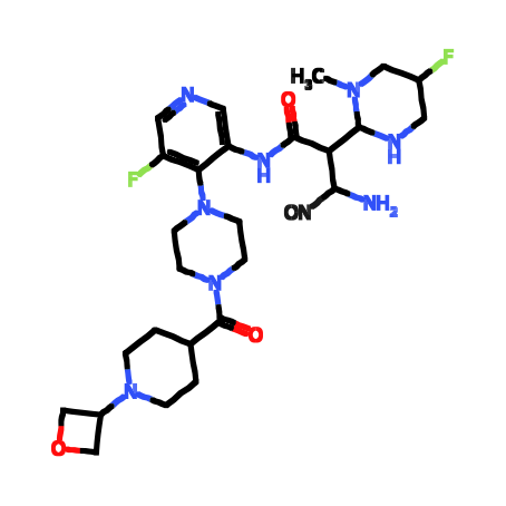 CN1CC(F)CNC1C(C(=O)Nc1cncc(F)c1N1CCN(C(=O)C2CCN(C3COC3)CC2)CC1)C(N)N=O